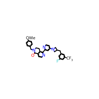 COc1ccc(CN2CCc3c(ccnc3-c3cc(N4CC(Cc5cc(F)cc(C(F)(F)F)c5)C4)ccn3)C2=O)cc1